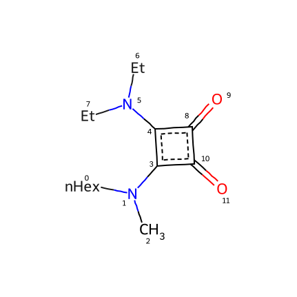 CCCCCCN(C)c1c(N(CC)CC)c(=O)c1=O